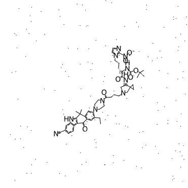 CCc1cc2c(cc1N1CCN(C(=O)CCCN3C[C@H](NC(=O)[C@H](CCCn4ccnc4[N+](=O)[O-])NC(=O)OC(C)(C)C)C4(CC4)C3)CC1)C(C)(C)c1[nH]c3cc(C#N)ccc3c1C2=O